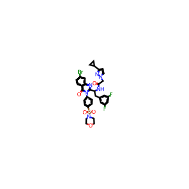 O=C(Cn1ccc(C2CC2)n1)NC(Cc1cc(F)cc(F)c1)c1nc2cc(Br)ccc2c(=O)n1-c1ccc(S(=O)(=O)N2CCOCC2)cc1